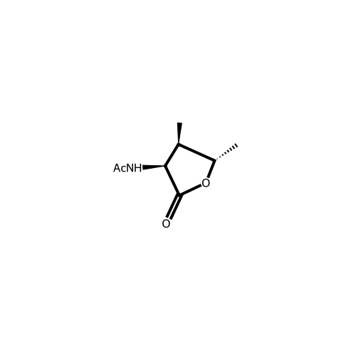 CC(=O)N[C@@H]1C(=O)O[C@@H](C)[C@@H]1C